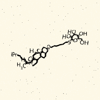 CC(C)CCC[C@@H](C)[C@H]1CCC2C3CC=C4C[C@@H](OCCCCCCS[C@@H]5O[C@H](CO)[C@@H](O)[C@H](O)[C@H]5O)CC[C@]4(C)C3CC[C@@]21C